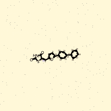 O=C1NC(=O)/C(=C\c2ccc(-c3ccc(-c4ccccc4)cc3)o2)S1